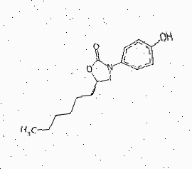 CCCCCC[C@@H]1CN(c2ccc(O)cc2)C(=O)O1